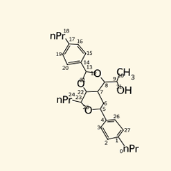 CCCc1ccc(C2CC3C(C(C)O)OC(c4ccc(CCC)cc4)OC3C(CCC)O2)cc1